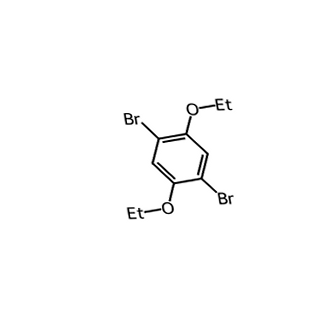 CCOc1cc(Br)c(OCC)cc1Br